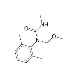 CNC(=O)N(COC)c1c(C)cccc1C